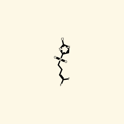 O=S(=O)(CCC=C(F)F)c1cnc(Cl)s1